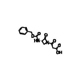 O=C(O)CC(=O)N1C[C@H](NC(=O)OCc2ccccc2)C1=O